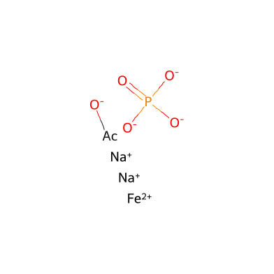 CC(=O)[O-].O=P([O-])([O-])[O-].[Fe+2].[Na+].[Na+]